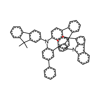 CC1(C)c2ccccc2-c2ccc(N(c3ccc4c(c3)C3(c5ccccc5-4)c4ccccc4-n4c5ccccc5c5cccc3c54)c3ccc(-c4ccccc4)cc3-c3ccccc3)cc21